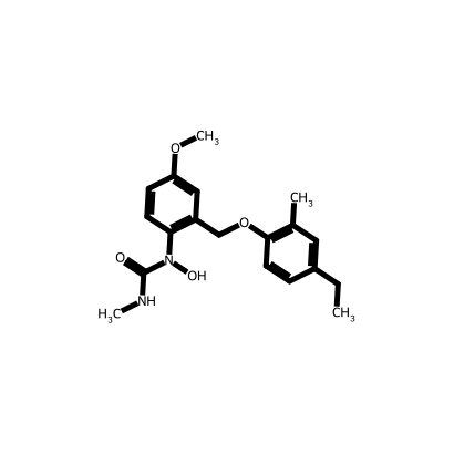 CCc1ccc(OCc2cc(OC)ccc2N(O)C(=O)NC)c(C)c1